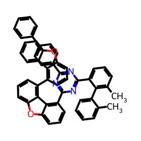 Cc1ccccc1-c1c(C)cccc1-c1nc(-c2ccc(-c3ccccc3)cc2)nc(-c2cccc3oc4cccc(-c5cccc6oc7ccccc7c56)c4c23)n1